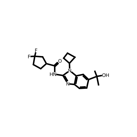 CC(C)(O)c1ccc2nc(NC(=O)C3CCC(F)(F)C3)n(C3CCC3)c2c1